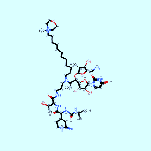 CO[C@H]1C(O[C@H](C(C(=O)O)N(CCCCCCCCCCCC[N+]2(C)CCOCC2)CCCNC(=O)C(NC(=O)C(NC(=O)NC(C(=O)O)C(C)C)C2CCNC(=N)C2)C(O)C(C)C)[C@H]2O[C@@H](n3ccc(=O)[nH]c3=O)[C@H](O)[C@@H]2O)O[C@H](CN)[C@@H]1O